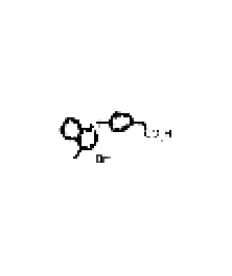 Cc1cc[n+](Cc2ccc(CC(=O)O)cc2)c2ccccc12.[Br-]